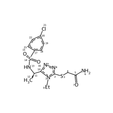 CCn1c(SCC(N)=O)nnc1[C@@H](C)NS(=O)(=O)c1ccc(Cl)cc1